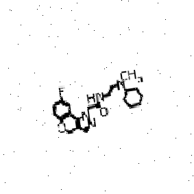 CN(CCNC(=O)Cn1ncc2c1-c1cc(F)ccc1OC2)C1CCCCC1